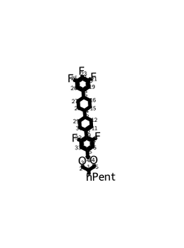 CCCCCC1COC(c2cc(F)c(C3=CCC(C4CCC(c5cc(F)c(F)c(F)c5)CC4)CC3)c(F)c2)OC1